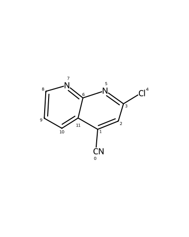 N#Cc1cc(Cl)nc2ncccc12